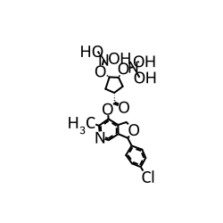 Cc1ncc2c(c1OC(=O)[C@@H]1C[C@H](ON(O)O)[C@H](ON(O)O)C1)COC2c1ccc(Cl)cc1